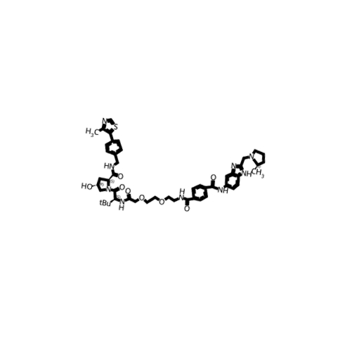 Cc1ncsc1-c1ccc(CNC(=O)[C@@H]2C[C@@H](O)CN2C(=O)[C@@H](NC(=O)COCCOCCNC(=O)c2ccc(C(=O)Nc3ccc4[nH]c(CN5CCC[C@@H]5C)nc4c3)cc2)C(C)(C)C)cc1